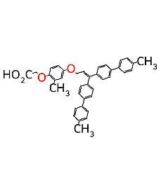 Cc1ccc(-c2ccc(C(=CCOc3ccc(OCC(=O)O)c(C)c3)c3ccc(-c4ccc(C)cc4)cc3)cc2)cc1